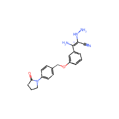 N#C/C(NN)=C(/N)c1cccc(OCc2ccc(N3CCCC3=O)cc2)c1